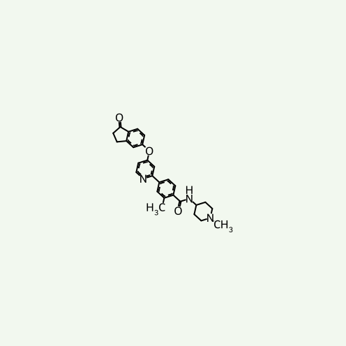 Cc1cc(-c2cc(Oc3ccc4c(c3)CCC4=O)ccn2)ccc1C(=O)NC1CCN(C)CC1